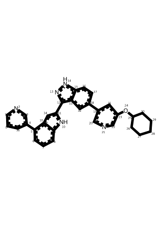 c1cncc(-c2cccc3[nH]c(-c4n[nH]c5ccc(-c6cncc(OC7CCCCC7)c6)cc45)cc23)c1